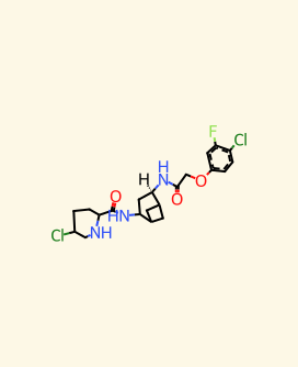 O=C(COc1ccc(Cl)c(F)c1)N[C@@H]1CC(NC(=O)C2CCC(Cl)CN2)C2CC1C2